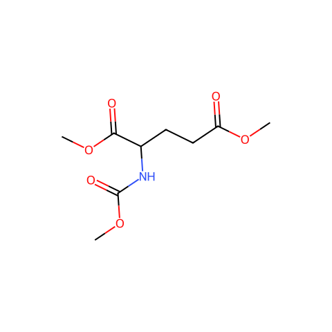 COC(=O)CCC(NC(=O)OC)C(=O)OC